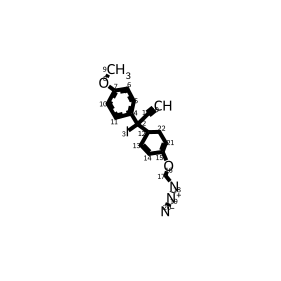 C#CC(I)(c1ccc(OC)cc1)C1C=CC(OCN=[N+]=[N-])=CC1